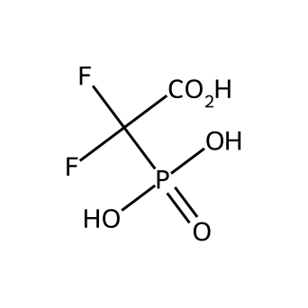 O=C(O)C(F)(F)P(=O)(O)O